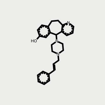 Oc1ccc2c(c1)C(N1CCN(CC=Cc3ccccc3)CC1)c1cccnc1CC2